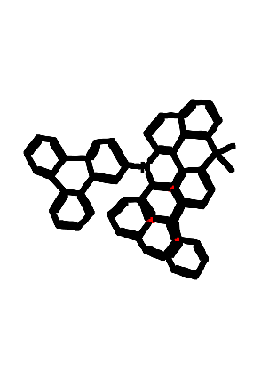 CC1(C)c2ccc(-c3cccc4ccccc34)cc2-c2c(N(c3ccc(-c4ccccc4)cc3)c3ccc4c5ccccc5c5ccccc5c4c3)ccc3cccc1c23